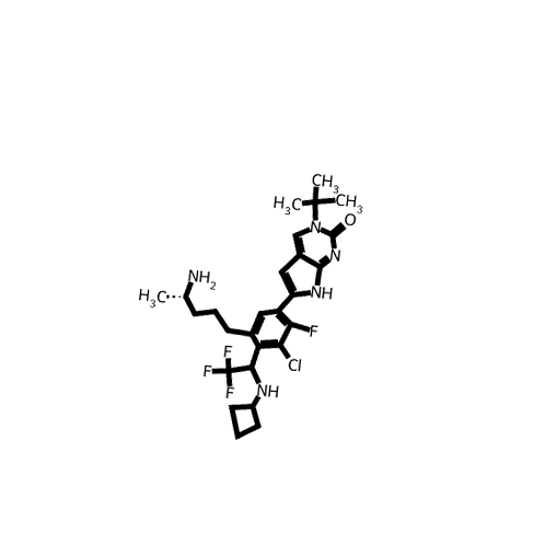 C[C@H](N)CCCc1cc(-c2cc3cn(C(C)(C)C)c(=O)nc3[nH]2)c(F)c(Cl)c1C(NC1CCC1)C(F)(F)F